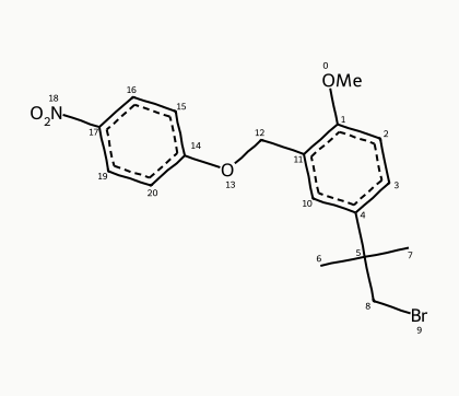 COc1ccc(C(C)(C)CBr)cc1COc1ccc([N+](=O)[O-])cc1